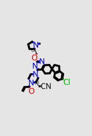 C=CC(=O)N1CCN(c2nc(OC[C@@H]3CCCN3C)nc3c2CCC2(CCc4cc(Cl)ccc42)C3)C[C@@H]1CC#N